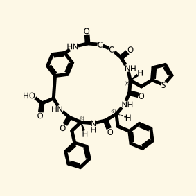 O=C1CCC(=O)N[C@H](Cc2cccs2)C(=O)N[C@@H](Cc2ccccc2)C(=O)N[C@H](Cc2ccccc2)C(=O)NC(C(=O)O)c2ccc(cc2)N1